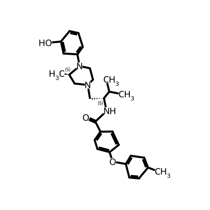 Cc1ccc(Oc2ccc(C(=O)N[C@H](CN3CCN(c4cccc(O)c4)[C@@H](C)C3)C(C)C)cc2)cc1